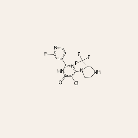 O=c1[nH]c(-c2ccnc(F)c2)nc(N2CCNC[C@H]2C(F)(F)F)c1Cl